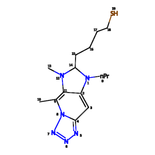 CCCN1c2cc3nnnn3c(C)c2N(C)C1CCCCS